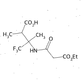 CCOC(=O)CC(=O)NC(C)(C(C)C(=O)O)C(F)(F)F